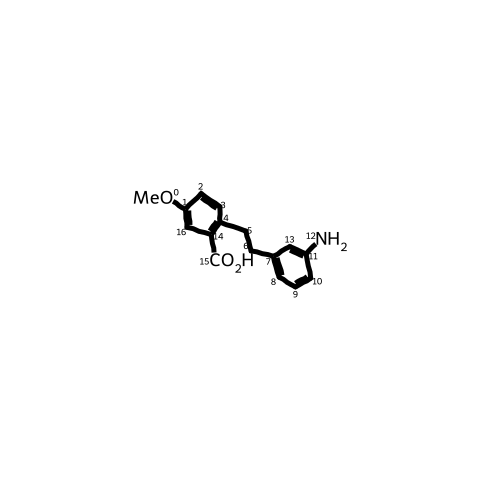 COc1ccc(CCc2cccc(N)c2)c(C(=O)O)c1